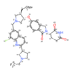 COC[C@@H]1CN(Cc2cc(F)c3nc(C4CCN(CC(F)(F)F)C4)ccc3c2)C[C@H]1Oc1ccc2c(c1)CN([C@H]1CCC(=O)NC1=O)C2=O